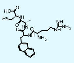 C[C@H](NC(=O)[C@H](Cc1ccc2ccccc2c1)NC(=O)[C@@H](N)CCCNC(=N)N)C(=O)N[C@@H](CS)C(=O)O